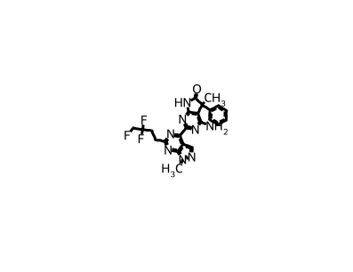 Cn1ncc2c(-c3nc(N)c4c(n3)NC(=O)C4(C)c3ccccc3)nc(CCC(F)(F)CF)nc21